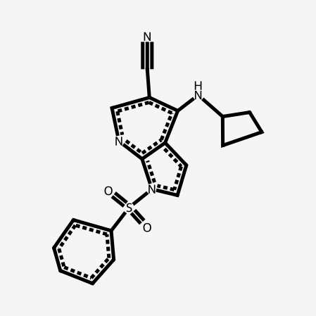 N#Cc1cnc2c(ccn2S(=O)(=O)c2ccccc2)c1NC1CCC1